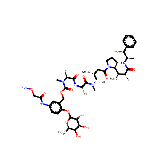 CC[C@H](C)[C@@H]([C@@H](CC(=O)N1CCC[C@H]1[C@H](OC)[C@@H](C)C(=O)N[C@H](C)[C@@H](O)c1ccccc1)OC)N(C)C(=O)[C@@H](NC(=O)[C@H](C(C)C)N(C)C(=O)OCc1cc(NC(=O)CON)ccc1OC1OC(C(=O)O)C(O)C(O)C1O)C(C)C